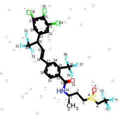 C[C@H](CC[S+]([O-])CC(F)(F)F)NC(=O)c1ccc(/C=C/C(c2cc(Cl)c(Cl)c(Cl)c2)C(F)(F)F)cc1C(F)(F)F